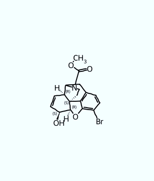 COC(=O)N1CC[C@]23c4c5ccc(Br)c4O[C@H]2[C@@H](O)C=C[C@H]3C1C5